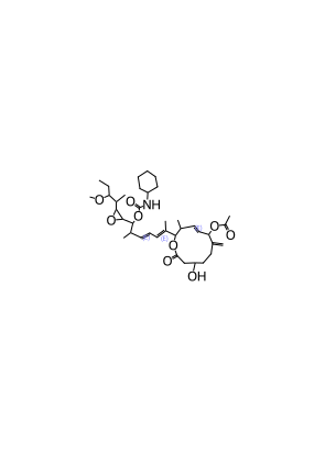 C=C1CCC(O)CC(=O)OC(/C(C)=C/C=C/C(C)C(OC(=O)NC2CCCCC2)C2OC2C(C)C(CC)OC)C(C)/C=C/C1OC(C)=O